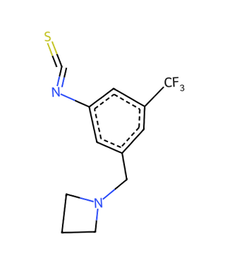 FC(F)(F)c1cc(CN2CCC2)cc(N=C=S)c1